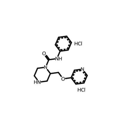 Cl.Cl.O=C(Nc1ccccc1)N1CCNCC1COc1cccnc1